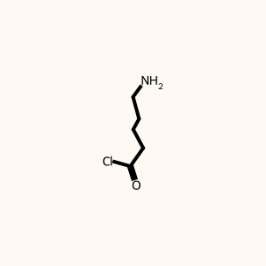 NCCCCC(=O)Cl